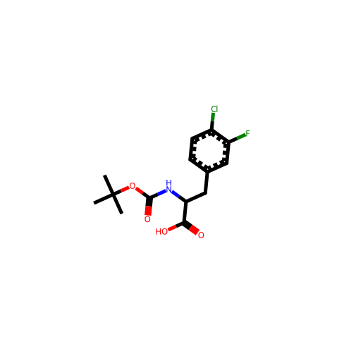 CC(C)(C)OC(=O)NC(Cc1ccc(Cl)c(F)c1)C(=O)O